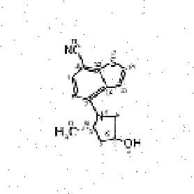 C[C@H]1C[C@H](O)CN1c1ccc(C#N)c2sccc12